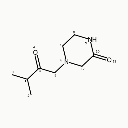 CC(C)C(=O)CN1CCNC(=O)C1